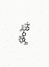 CC(O)c1cc(-c2ccc(N(C(N)=O)c3cccc(C(F)(F)F)n3)cc2)c2c(N)ncnn12